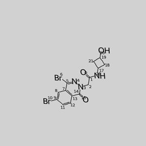 O=C(Cn1nc(Br)c2cc(Br)ccc2c1=O)NC1CC(O)C1